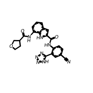 N#Cc1ccc(NC(=O)c2cc3cccc(NC(=O)C4CCOC4)c3[nH]2)c(-c2nnn[nH]2)c1